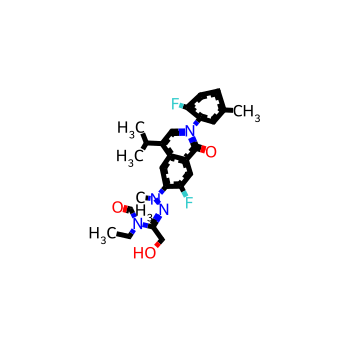 CCN(C=O)/C(CO)=N\N(C)c1cc2c(C(C)C)cn(-c3cc(C)ccc3F)c(=O)c2cc1F